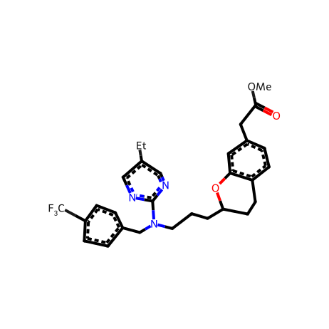 CCc1cnc(N(CCCC2CCc3ccc(CC(=O)OC)cc3O2)Cc2ccc(C(F)(F)F)cc2)nc1